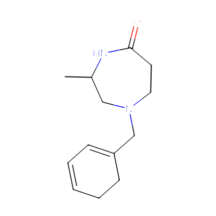 CC1CN(CC2=CC=CCC2)CCC(=O)N1